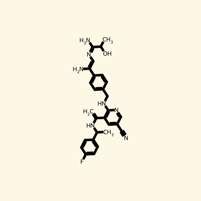 C=C(NC(C)c1ccc(F)cc1)c1cc(C#N)cnc1NCc1ccc(/C(N)=C/N=C(/N)C(C)O)cc1